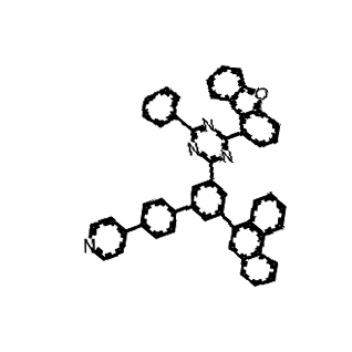 c1ccc(-c2nc(-c3cc(-c4ccc(-c5ccncc5)cc4)cc(-c4cc5ccccc5c5ccccc45)c3)nc(-c3cccc4oc5ccccc5c34)n2)cc1